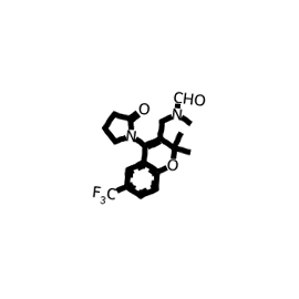 CN(C=O)CC1=C(N2CCCC2=O)c2cc(C(F)(F)F)ccc2OC1(C)C